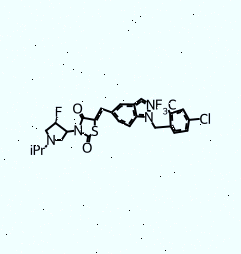 CC(C)N1CC(N2C(=O)S/C(=C\c3ccc4c(cnn4Cc4ccc(Cl)cc4C(F)(F)F)c3)C2=O)[C@H](F)C1